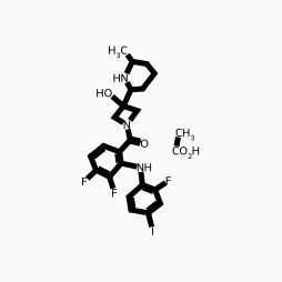 CC(=O)O.CC1CCCC(C2(O)CN(C(=O)c3ccc(F)c(F)c3Nc3ccc(I)cc3F)C2)N1